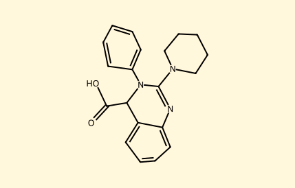 O=C(O)C1c2ccccc2N=C(N2CCCCC2)N1c1ccccc1